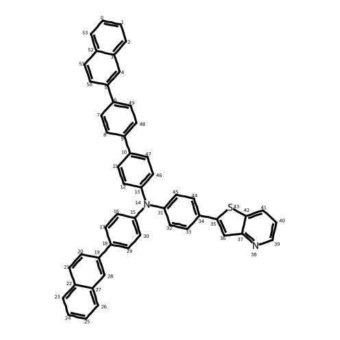 c1ccc2cc(-c3ccc(-c4ccc(N(c5ccc(-c6ccc7ccccc7c6)cc5)c5ccc(-c6cc7ncccc7s6)cc5)cc4)cc3)ccc2c1